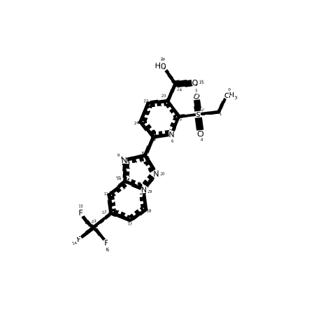 CCS(=O)(=O)c1nc(-c2nc3cc(C(F)(F)F)ccn3n2)ccc1C(=O)O